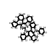 c1ccc(-c2nc(-n3c4ccccc4c4c5cccnc5c5c(c6ccccc6n5-c5ccccc5)c43)nc3c4ccccc4c4ccccc4c23)cc1